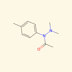 CC(=O)N(c1ccc(C)cc1)N(C)C